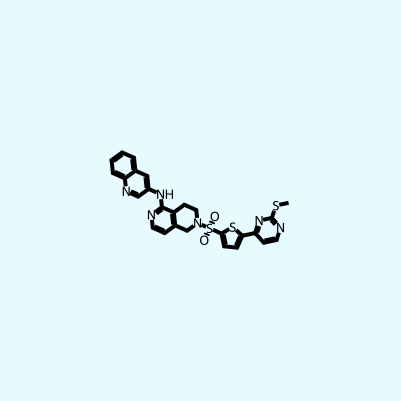 CSc1nccc(-c2ccc(S(=O)(=O)N3CCc4c(ccnc4Nc4cnc5ccccc5c4)C3)s2)n1